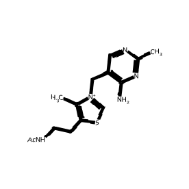 CC(=O)NCCc1sc[n+](Cc2cnc(C)nc2N)c1C